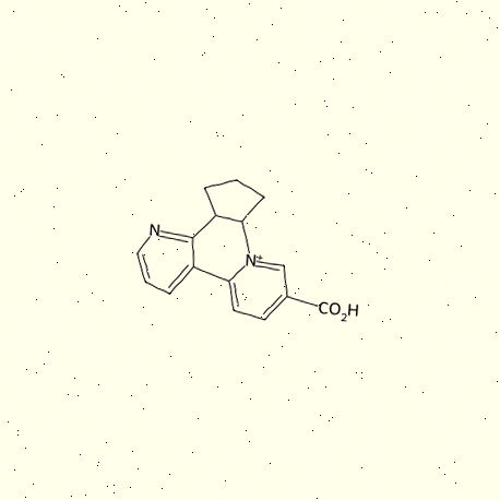 O=C(O)c1ccc2[n+](c1)C1CCCC1c1ncccc1-2